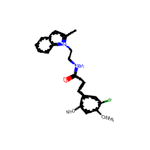 COc1cc(OC)c(C=CC(=O)NCCn2c(C)cc3ccccc32)cc1Br